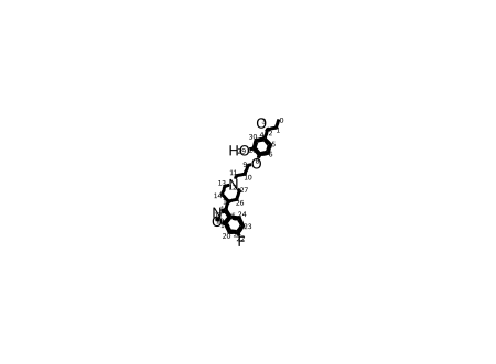 CCC(=O)c1ccc(OCCCN2CCC(c3noc4cc(F)ccc34)CC2)c(O)c1